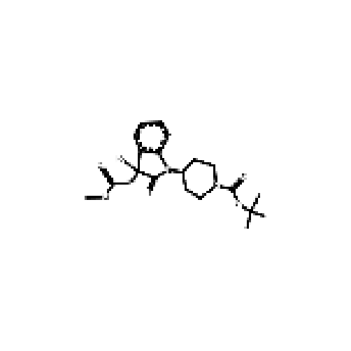 CNC(=O)CC1(O)C(=O)N(C2CCN(C(=O)OC(C)(C)C)CC2)c2ccccc21